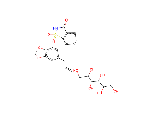 C=CCc1ccc2c(c1)OCO2.O=C1NS(=O)(=O)c2ccccc21.OCC(O)C(O)C(O)C(O)CO